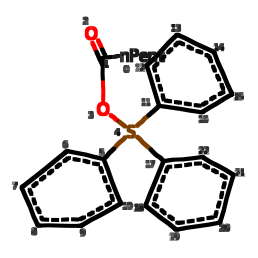 CCCCCC(=O)OS(c1ccccc1)(c1ccccc1)c1ccccc1